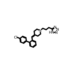 Clc1ccc(-c2ccccc2C=C2CCN(CCCc3nnn[nH]3)CC2)cc1